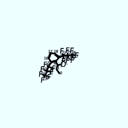 CCC([O])c1c(C(F)(F)C(F)(F)C(F)(F)F)cccc1C(F)(F)C(F)(F)C(F)(F)F